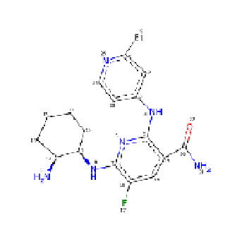 CCc1cc(Nc2nc(N[C@@H]3CCCC[C@@H]3N)c(F)cc2C(N)=O)ccn1